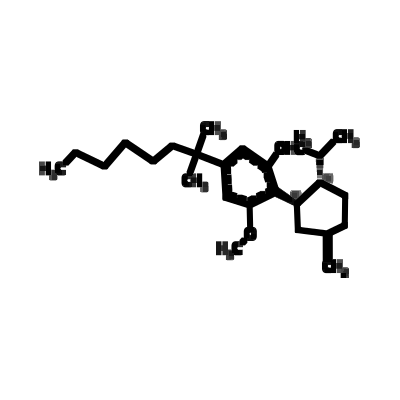 C=C1CC[C@@H](C(C)C)[C@H](c2c(O)cc(C(C)(C)CCCCCC)cc2OC)C1